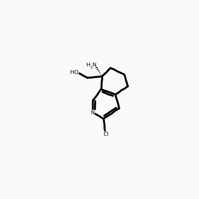 N[C@]1(CO)CCCc2cc(Cl)ncc21